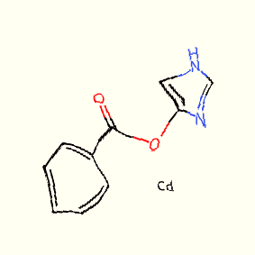 O=C(Oc1c[nH]cn1)c1ccccc1.[Cd]